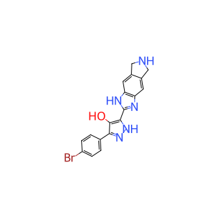 Oc1c(-c2ccc(Br)cc2)n[nH]c1-c1nc2cc3c(cc2[nH]1)CNC3